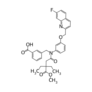 CCC(CC)(CC(=O)N(Cc1cccc(C(=O)O)c1)c1cccc(OCc2ccc3ccc(F)cc3n2)c1)C(=O)OC